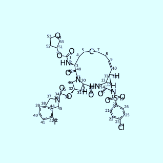 O=C(N[C@H]1CCCCC/C=C\[C@@H]2C[C@@]2(C(=O)NS(=O)(=O)c2ccc(Cl)cc2)NC(=O)[C@@H]2C[C@@H](OC(=O)N3Cc4cccc(F)c4C3)CN2C1=O)OC1CCOC1